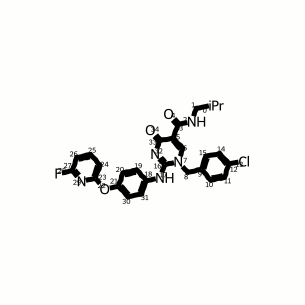 CC(C)CNC(=O)c1cn(Cc2ccc(Cl)cc2)c(Nc2ccc(Oc3cccc(F)n3)cc2)nc1=O